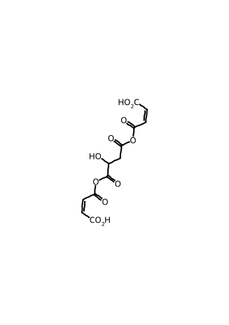 O=C(O)/C=C\C(=O)OC(=O)CC(O)C(=O)OC(=O)/C=C\C(=O)O